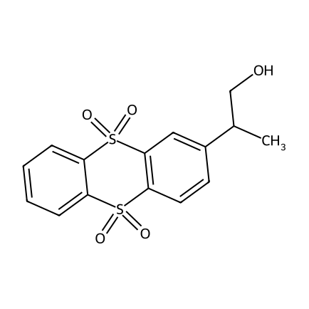 CC(CO)c1ccc2c(c1)S(=O)(=O)c1ccccc1S2(=O)=O